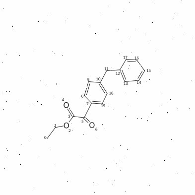 CCOC(=O)C(=O)c1ccc(Cc2ccccc2)cc1